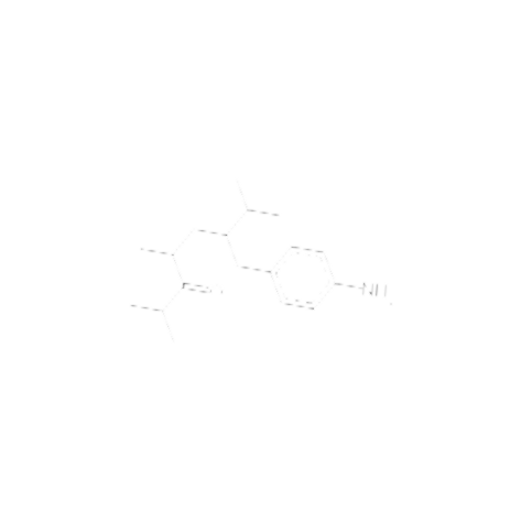 CC(C)C(=O)C(C)CC(Cc1ccc(N)cc1)C(C)C